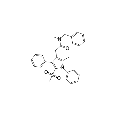 Cc1c(CC(=O)N(C)Cc2ccccc2)c(-c2ccccc2)c(S(C)(=O)=O)n1-c1ccccc1